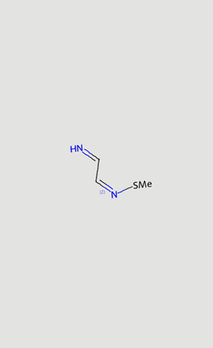 CS/N=C\C=N